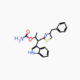 CC(OC(N)=O)C(C1=NC(Cc2ccccc2)CS1)c1c[nH]c2ccccc12